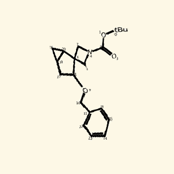 CC(C)(C)OC(=O)N1CC2(C1)C(OCc1ccccc1)CC1CC12